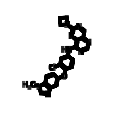 Cn1cnc2cc(Oc3ccc(Nc4ncnc5cnc(N6CCC6)nc45)cc3Cl)ccc21